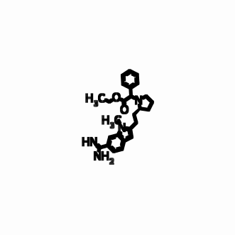 CCOC(=O)C(c1ccccc1)N1CCC[C@H]1CCc1cc2ccc(C(=N)N)cc2n1C